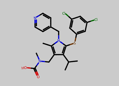 Cc1c(CN(C)C(=O)O)c(C(C)C)c(Sc2cc(Cl)cc(Cl)c2)n1Cc1ccncc1